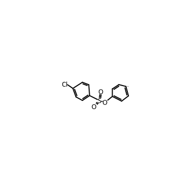 O=S(=O)(Oc1cc[c]cc1)c1ccc(Cl)cc1